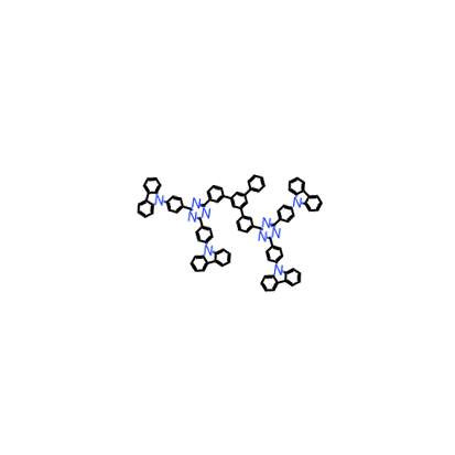 c1ccc(-c2cc(-c3cccc(-c4nc(-c5ccc(-n6c7ccccc7c7ccccc76)cc5)nc(-c5ccc(-n6c7ccccc7c7ccccc76)cc5)n4)c3)cc(-c3cccc(-c4nc(-c5ccc(-n6c7ccccc7c7ccccc76)cc5)nc(-c5ccc(-n6c7ccccc7c7ccccc76)cc5)n4)c3)c2)cc1